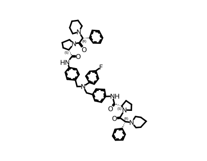 O=C(Nc1ccc(CN(Cc2ccc(NC(=O)[C@@H]3CCCN3C(=O)[C@@H](c3ccccc3)N3CCCCC3)cc2)c2ccc(F)cc2)cc1)[C@@H]1CCCN1C(=O)[C@@H](c1ccccc1)N1CCCCC1